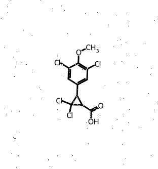 COc1c(Cl)cc(C2C(C(=O)O)C2(Cl)Cl)cc1Cl